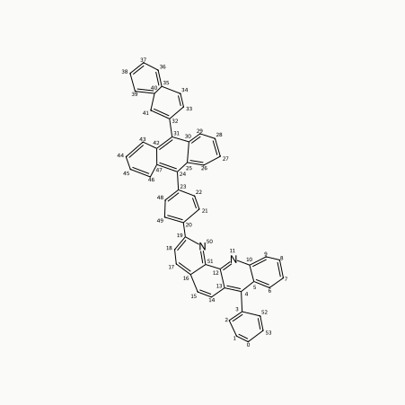 c1ccc(-c2c3ccccc3nc3c2ccc2ccc(-c4ccc(-c5c6ccccc6c(-c6ccc7ccccc7c6)c6ccccc56)cc4)nc23)cc1